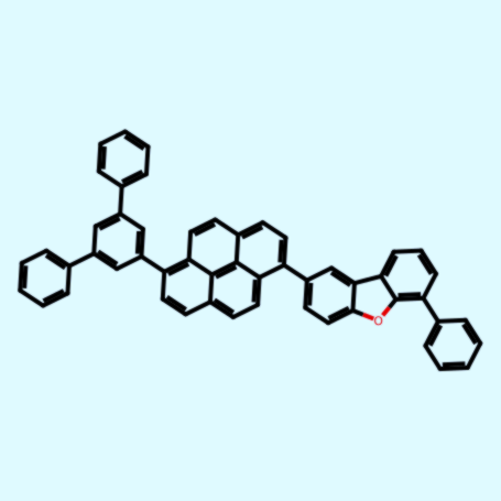 c1ccc(-c2cc(-c3ccccc3)cc(-c3ccc4ccc5c(-c6ccc7oc8c(-c9ccccc9)cccc8c7c6)ccc6ccc3c4c65)c2)cc1